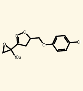 CC(C)(C)C1(C2=NOC(COc3ccc(Cl)cc3)C2)CO1